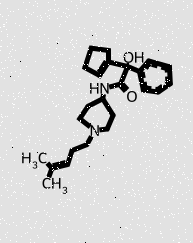 CC(C)=CCCN1CCC(NC(=O)[C@@](O)(C2=CCCC2)c2ccccc2)CC1